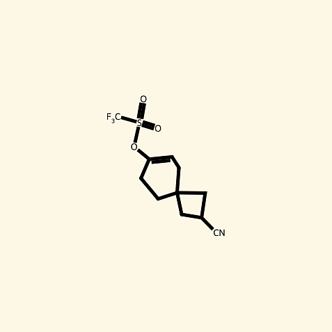 N#CC1CC2(CC=C(OS(=O)(=O)C(F)(F)F)CC2)C1